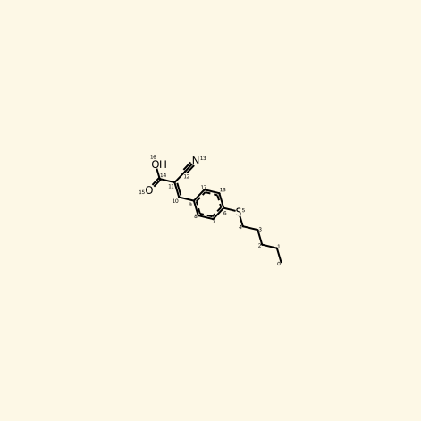 CCCCCSc1ccc(/C=C(\C#N)C(=O)O)cc1